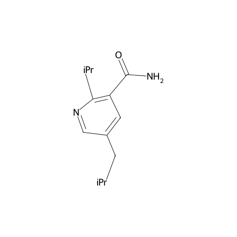 CC(C)Cc1cnc(C(C)C)c(C(N)=O)c1